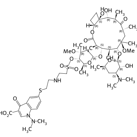 CO[C@]1(C)C[C@@H](C)C(=O)[C@H](C)[C@@H](O)[C@@]2(O)CC[C@H]2OC(=O)[C@H](C)[C@@H](O[C@H]2C[C@@](C)(OC)[C@@H](OS(=O)(=O)CCNCCSc3ccc4c(c3)c(=O)c(C(=O)O)cn4N(C)C)[C@H](C)O2)[C@H](C)[C@H]1O[C@@H]1O[C@H](C)C[C@H](N(C)C)[C@H]1O